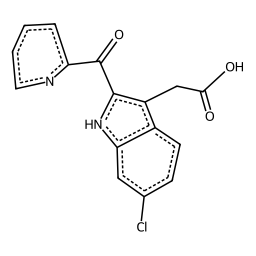 O=C(O)Cc1c(C(=O)c2ccccn2)[nH]c2cc(Cl)ccc12